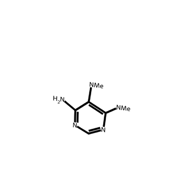 CNc1ncnc(N)c1NC